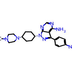 CN1CCN([C@H]2CC[C@@H](n3nc(-c4ccc(N)cc4)c4c(N)ncnc43)CC2)CC1